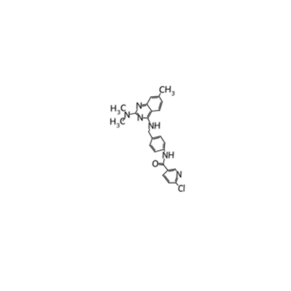 Cc1ccc2c(NCc3ccc(NC(=O)c4ccc(Cl)nc4)cc3)nc(N(C)C)nc2c1